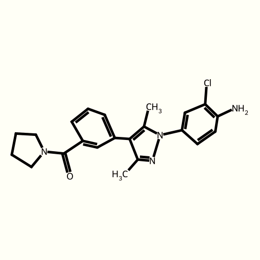 Cc1nn(-c2ccc(N)c(Cl)c2)c(C)c1-c1cccc(C(=O)N2CCCC2)c1